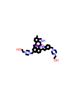 Cc1ccc(-c2cc3cc(CN4CCN(CCO)CC4)ccc3[nH]2)c2c1CNC2C(=O)C1NCc2c(C)ccc(-c3cc4cc(CN5CCN(CCO)CC5)ccc4[nH]3)c21